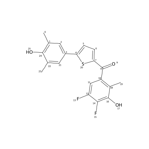 Cc1cc(-c2ccc(C(=O)c3cc(F)c(F)c(O)c3C)s2)cc(C)c1O